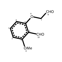 COc1cccc(OCC=O)c1C=O